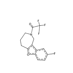 O=C(N1CCCc2oc3ccc(F)cc3c2C1)C(F)(F)F